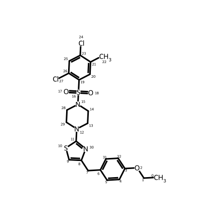 CCOc1ccc(Cc2csc(N3CCN(S(=O)(=O)c4cc(C)c(Cl)cc4Cl)CC3)n2)cc1